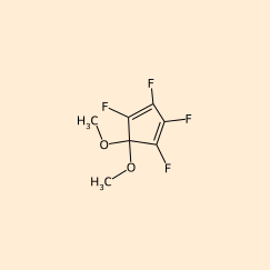 COC1(OC)C(F)=C(F)C(F)=C1F